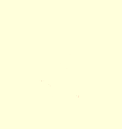 CCCCNc1cc(C(=O)O[C@@H](C)C(=O)OCc2ccccc2)cc(S(N)(=O)=O)c1Oc1ccccc1